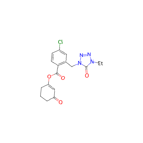 CCn1nnn(Cc2cc(Cl)ccc2C(=O)OC2=CC(=O)CCC2)c1=O